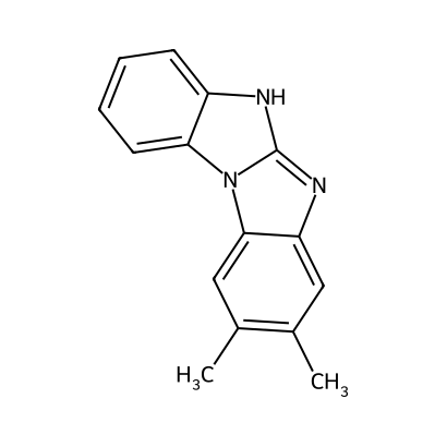 Cc1cc2nc3[nH]c4ccccc4n3c2cc1C